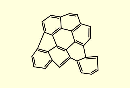 c1cc2c3c(c1)cc1c4ccccc4c4ccc5ccc6ccc-2c2c6c5c4c1c32